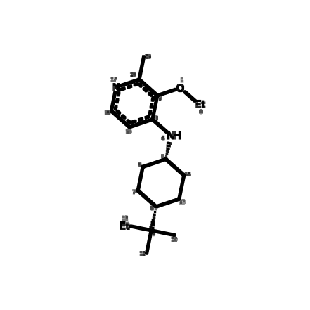 CCOc1c(N[C@H]2CC[C@@H](C(C)(C)CC)CC2)ccnc1C